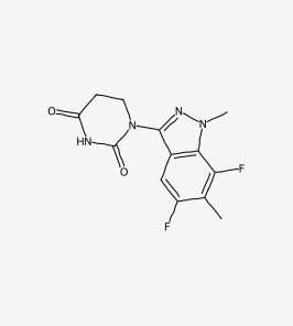 Cc1c(F)cc2c(N3CCC(=O)NC3=O)nn(C)c2c1F